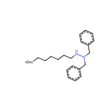 CCCCCCCCCCCCCCCCNN(Cc1ccccc1)Cc1ccccc1